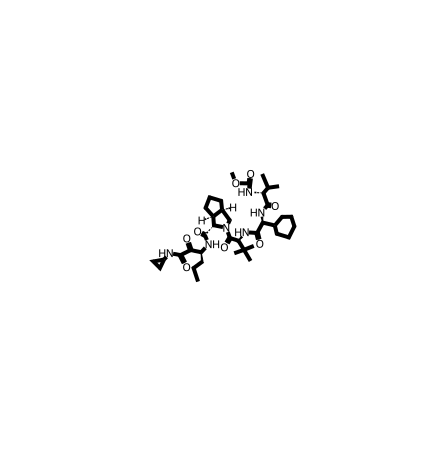 CCC[C@H](NC(=O)[C@@H]1[C@H]2CCC[C@H]2CN1C(=O)[C@@H](NC(=O)[C@@H](NC(=O)[C@H](NC(=O)OC)C(C)C)C1CCCCC1)C(C)(C)C)C(=O)C(=O)NC1CC1